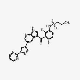 CCCS(=O)(=O)Nc1ccc(F)c(C(=O)c2c[nH]c3ncc(-c4cnn(-c5ncccn5)c4)cc23)c1F